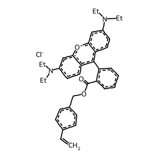 C=Cc1ccc(COC(=O)c2ccccc2-c2c3ccc(N(CC)CC)cc3[o+]c3cc(N(CC)CC)ccc23)cc1.[Cl-]